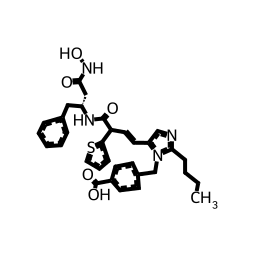 CCCCc1ncc(C=CC(C(=O)N[C@@H](CC(=O)NO)Cc2ccccc2)c2cccs2)n1Cc1ccc(C(=O)O)cc1